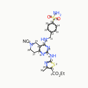 CCOC(=O)c1sc(Nc2nc3c(c(NCc4ccc(S(N)(=O)=O)cc4)n2)CN(C#N)CC3)nc1C